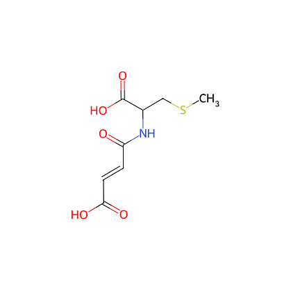 CSCC(NC(=O)C=CC(=O)O)C(=O)O